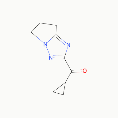 O=C(c1nc2n(n1)CCC2)C1CC1